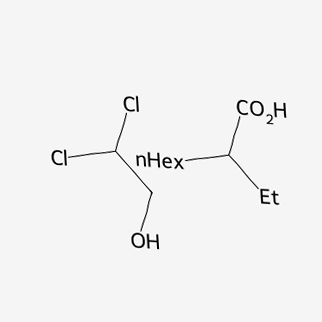 CCCCCCC(CC)C(=O)O.OCC(Cl)Cl